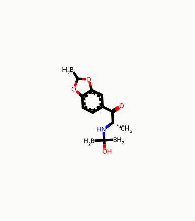 BC1Oc2ccc(C(=O)[C@H](C)NC(B)(B)O)cc2O1